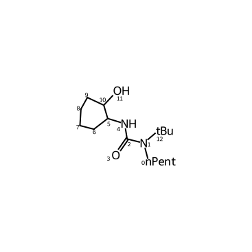 CCCCCN(C(=O)NC1CCCCC1O)C(C)(C)C